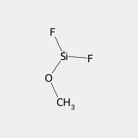 CO[Si](F)F